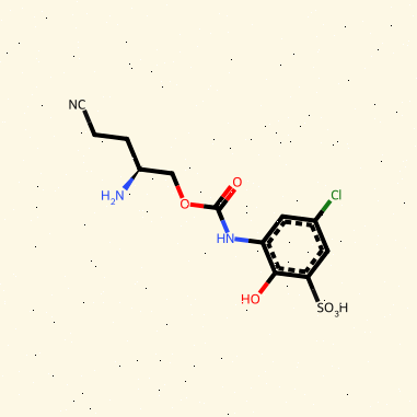 N#CCC[C@H](N)COC(=O)Nc1cc(Cl)cc(S(=O)(=O)O)c1O